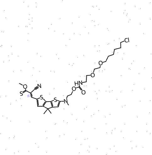 COC(=S)/C(C#N)=C/c1cc2c(s1)-c1sc(N(C)CCOC(=O)NCCOCCOCCCCCCCl)cc1C2(C)C